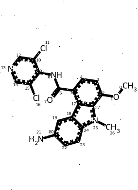 COc1ccc(C(=O)Nc2c(Cl)cncc2Cl)c2c3cc(N)ccc3n(C)c12